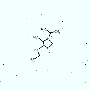 CCNC1OCN(C(C)C)C1C